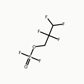 O=P(F)(F)OCC(F)(F)C(F)F